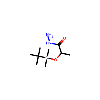 CC(O[Si](C)(C)C(C)(C)C)C(=O)NN